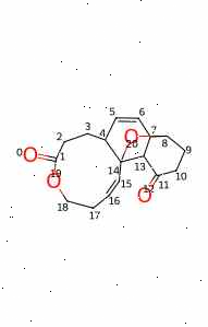 O=C1CCC2C=CC3C4CCC(=O)C3C2(C=CCCO1)O4